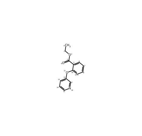 CCOC(=O)c1cccnc1Oc1cccnc1